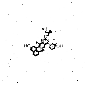 C#Cc1cccc2cc(O)cc(-c3ncc4c(N5CCC[C@@](C)(O)C5)nc(OCC5(CN(C)C)CC5)nc4c3F)c12